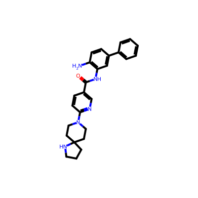 Nc1ccc(-c2ccccc2)cc1NC(=O)c1ccc(N2CCC3(CCCN3)CC2)nc1